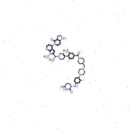 Cc1cc(C(=O)N2CCC(CN3CCN(c4ccc(N[C@H]5CCC(=O)NC5=O)cc4F)CC3)CC2)cc(F)c1C1=CCN([C@@H](C)c2cc3c(-n4ccc5c(c4=O)CCN5)ccnc3n2C)CC1